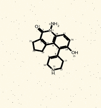 Nn1c(=O)c2c(c3c(C4=CCNCC4)c(O)ccc31)CCC2